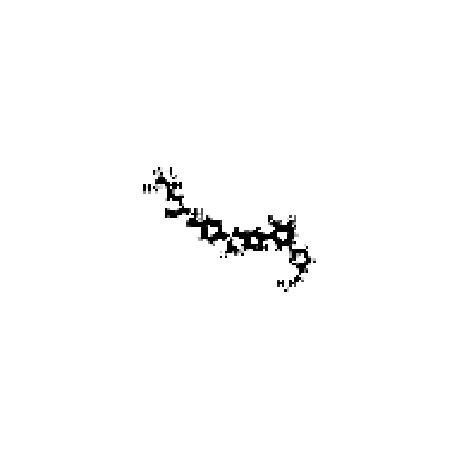 C=C[C@@H](CCNC(=N)N)NCc1ccc(-n2cc3cc(-c4cc([C@H]5CC[C@H](CN)O5)cc(Cl)c4F)[nH]c3nc2=O)cc1